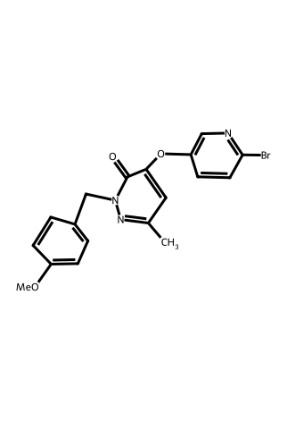 COc1ccc(Cn2nc(C)cc(Oc3ccc(Br)nc3)c2=O)cc1